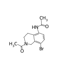 CC(=O)Nc1ccc(Br)c2c1CCN(C(C)=O)C2